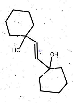 OC1(/C=C/C2(O)CCCCC2)CCCCC1